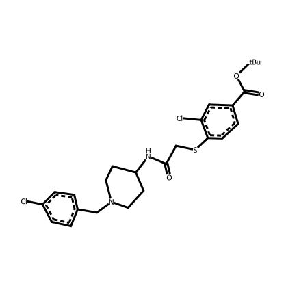 CC(C)(C)OC(=O)c1ccc(SCC(=O)NC2CCN(Cc3ccc(Cl)cc3)CC2)c(Cl)c1